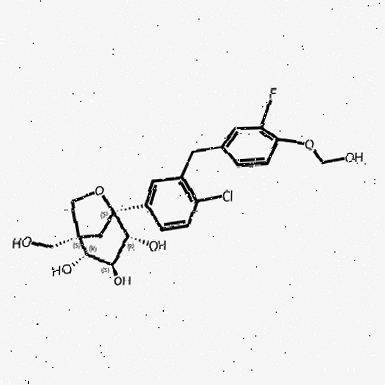 OCOc1ccc(Cc2cc([C@]34C[C@](CO)(CO3)[C@@H](O)[C@H](O)[C@H]4O)ccc2Cl)cc1F